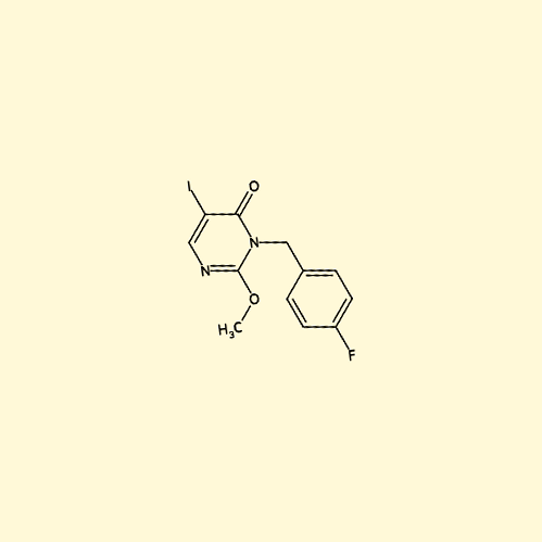 COc1ncc(I)c(=O)n1Cc1ccc(F)cc1